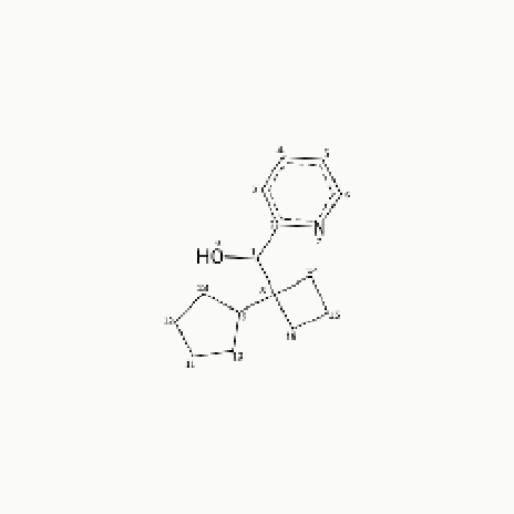 OC(c1ccccn1)C1(C2CCCC2)CCC1